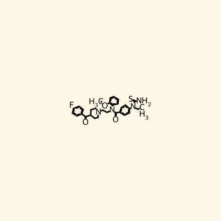 CCN(C(N)=S)c1ccc(C(=O)N(CCN2CCC(C(=O)c3ccc(F)cc3)CC2)c2ccccc2OC)cc1